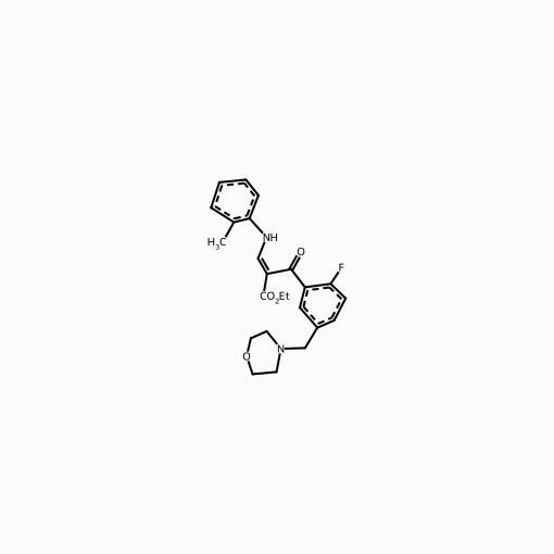 CCOC(=O)C(=CNc1ccccc1C)C(=O)c1cc(CN2CCOCC2)ccc1F